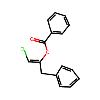 O=C(OC(=CCl)Cc1ccccc1)c1ccccc1